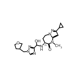 CN1C(=O)[C@@H](NC(O)c2ncn(CC3CCOC3)n2)CCn2nc(C3CC3)cc21